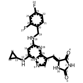 O=C1NC(=O)/C(=C/c2cnn3c(NC4CC4)cc(NCc4ccc(F)cc4F)nc23)N1